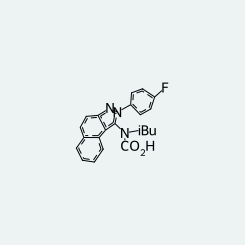 CCC(C)N(C(=O)O)c1c2c(ccc3ccccc32)nn1-c1ccc(F)cc1